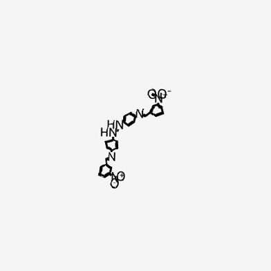 O=[N+]([O-])c1cccc(C=Nc2ccc(NCNc3ccc(N=Cc4cccc([N+](=O)[O-])c4)cc3)cc2)c1